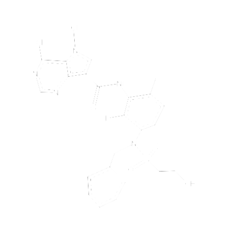 CCCS(=O)(=O)N(Cc1ccccc1)c1ccc(F)c(NC(=O)c2cn(C)c3c(Cl)ncnc23)c1F